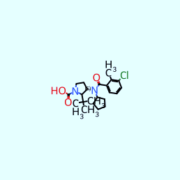 Cc1c(Cl)cccc1C(=O)N(C1CCCC1)[C@H]1CCN(C(=O)O)C1C(C)(C)C